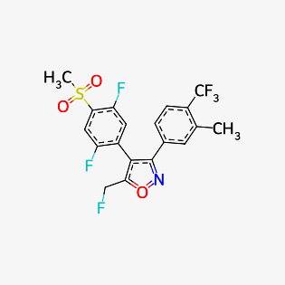 Cc1cc(-c2noc(CF)c2-c2cc(F)c(S(C)(=O)=O)cc2F)ccc1C(F)(F)F